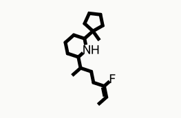 C/C=C(/F)CCC(C)C1CCCC(C2(C)CCCC2)N1